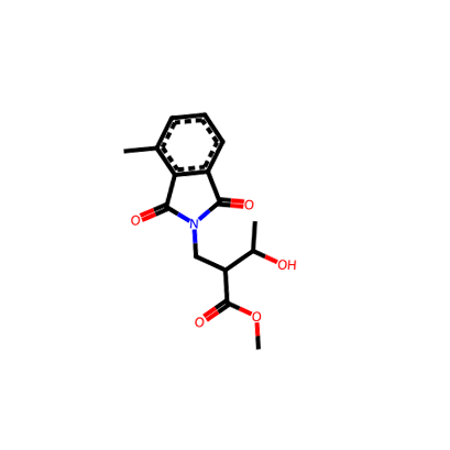 COC(=O)C(CN1C(=O)c2cccc(C)c2C1=O)C(C)O